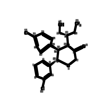 O=C1CO[C@H](c2cccc(Cl)c2)[C@@H](c2ccc(Cl)cc2)N1[C@H](CO)CC(F)(F)F